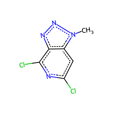 Cn1nnc2c(Cl)nc(Cl)cc21